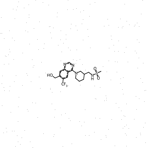 CS(=O)(=O)NCC1CCCN(c2ncnc3cc(CO)c(C(F)(F)F)cc23)C1